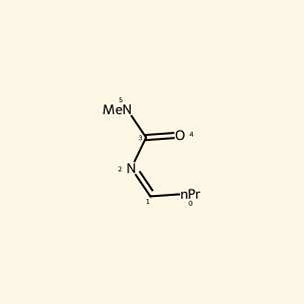 CCC/C=N\C(=O)NC